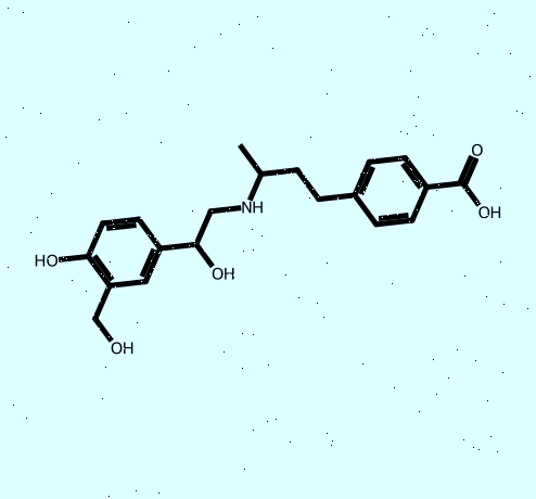 CC(CCc1ccc(C(=O)O)cc1)NCC(O)c1ccc(O)c(CO)c1